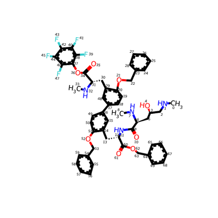 CNC[C@H](O)C[C@H](NC)C(=O)N[C@@H](Cc1cc(-c2ccc(OCc3ccccc3)c(C[C@H](NC)C(=O)Oc3c(F)c(F)c(F)c(F)c3F)c2)ccc1OCc1ccccc1)C(=O)OCc1ccccc1